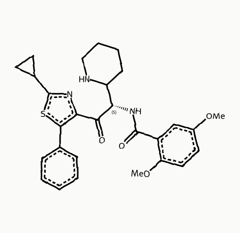 COc1ccc(OC)c(C(=O)N[C@H](C(=O)c2nc(C3CC3)sc2-c2ccccc2)C2CCCCN2)c1